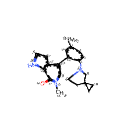 CNc1ccc(N2CCC3(CC3)C2)c(-c2cn(C)c(=O)c3[nH]ccc23)c1